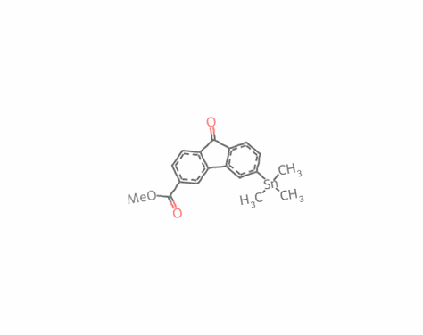 COC(=O)c1ccc2c(c1)-c1c[c]([Sn]([CH3])([CH3])[CH3])ccc1C2=O